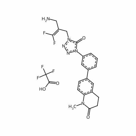 CN1C(=O)CCc2cc(-c3cccc(-n4nnn(CC(CN)=C(F)F)c4=O)c3)ccc21.O=C(O)C(F)(F)F